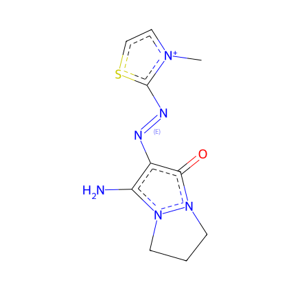 C[n+]1ccsc1/N=N/c1c(N)n2n(c1=O)CCC2